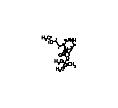 COCCC12CCC(CNC1)N2C(=O)OC(C)(C)C